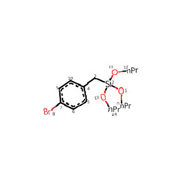 CCCO[Si](Cc1ccc(Br)cc1)(OCCC)OCCC